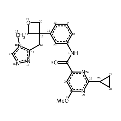 COc1cc(C(=O)Nc2cccc(C3(Cc4nncn4C)COC3)c2)nc(C2CC2)n1